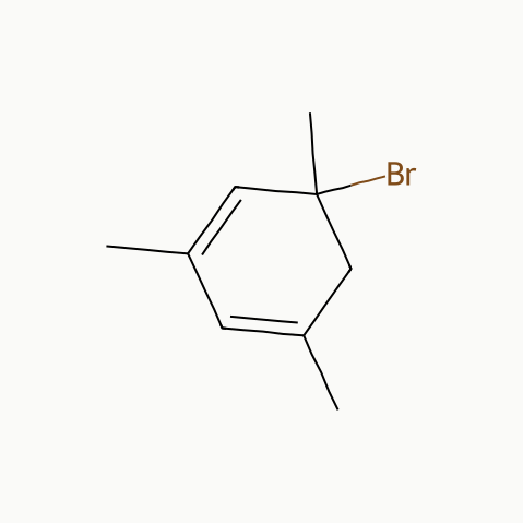 CC1=CC(C)(Br)CC(C)=C1